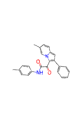 Cc1ccc(NC(=O)C(=O)c2c(-c3ccccc3)cc3ccc(C)cn23)cc1